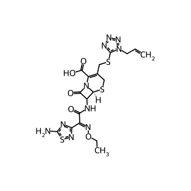 C=CCn1nnnc1SCC1=C(C(=O)O)N2C(=O)C(NC(=O)C(=NOCC)c3nsc(N)n3)[C@@H]2SC1